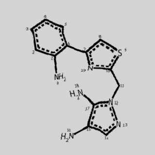 Nc1ccccc1-c1csc(Cn2ncc(N)c2N)n1